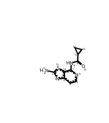 Nc1nc2ccnc(NC(=O)C3CC3)c2s1